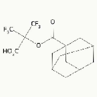 O=C(OC(C(=O)O)(C(F)(F)F)C(F)(F)F)C12CC3CC(CC(C3)C1)C2